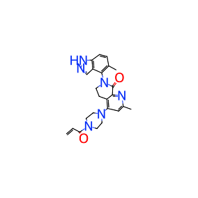 C=CC(=O)N1CCN(c2cc(C)nc3c2CCN(c2c(C)ccc4[nH]ncc24)C3=O)CC1